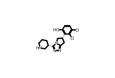 Oc1ccc(Cl)c(Cl)c1[C@@H]1Cc2nnc([C@H]3CCCNC3)n2C1